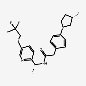 C[C@@H](NC(=O)Cc1ccc(N2CC[C@H](F)C2)cc1)c1ccc(OCC(F)(F)F)cn1